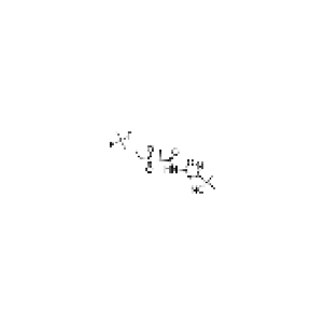 CC(F)(F)CCCS(=O)(=O)C(C)(C)C(=O)Nc1cc(C(C)(C)C#N)no1